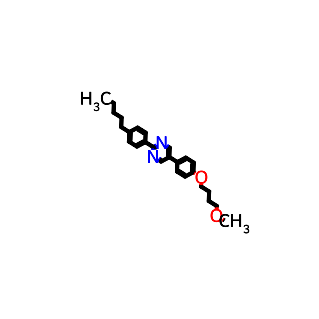 CCCCCc1ccc(-c2ncc(-c3ccc(OCCCCOC)cc3)cn2)cc1